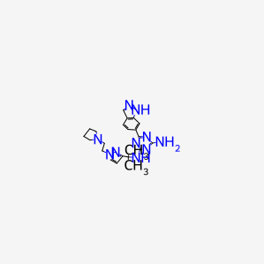 CC(C)(Nc1nc(N)nc(-c2ccc3cn[nH]c3c2)n1)c1ccn(CCN2CCCC2)n1